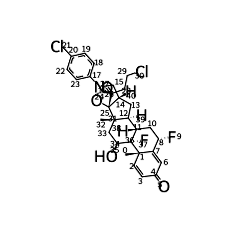 C[C@]12C=CC(=O)C=C1[C@@H](F)C[C@H]1[C@@H]3C[C@H]4CN(c5ccc(Cl)cc5)O[C@@]4(C(=O)CCCl)[C@@]3(C)C[C@H](O)[C@@]12F